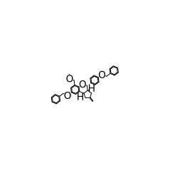 C=C1C[C@@H]2[C@H](C1)c1cc(OCc3ccccc3)cc(COC)c1O[C@@H]2c1ccc(OCc2ccccc2)cc1